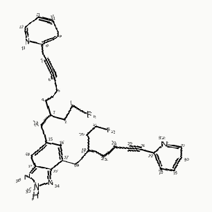 FCCC(CCC#Cc1ccccn1)Cc1cc(CC(CCF)CCC#Cc2ccccn2)c2n[nH]nc2c1